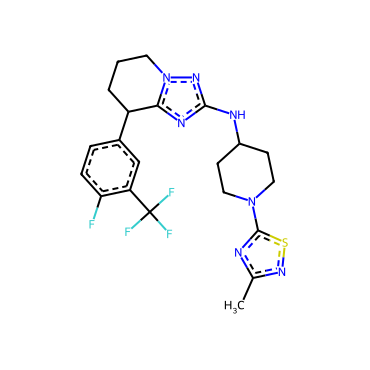 Cc1nsc(N2CCC(Nc3nc4n(n3)CCCC4c3ccc(F)c(C(F)(F)F)c3)CC2)n1